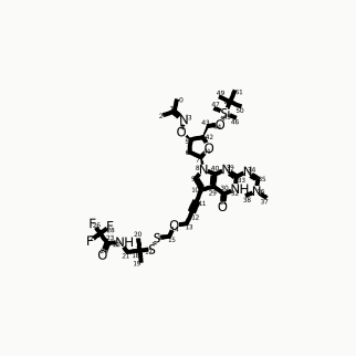 CC(C)=NO[C@@H]1C[C@H](n2cc(C#CCOCSSC(C)(C)CNC(=O)C(F)(F)F)c3c(=O)[nH]c(/N=C\N(C)C)nc32)O[C@@H]1CO[Si](C)(C)C(C)(C)C